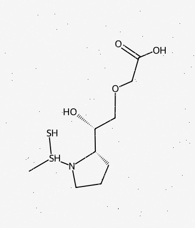 C[SH](S)N1CCC[C@H]1[C@H](O)COCC(=O)O